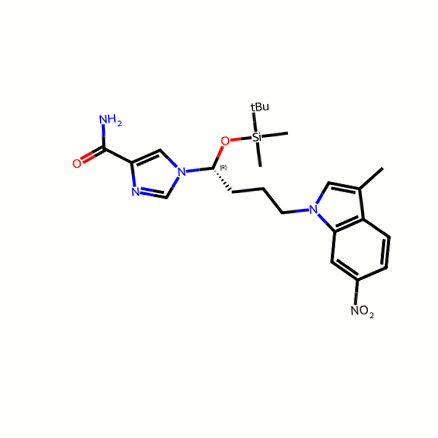 Cc1cn(CCC[C@@H](O[Si](C)(C)C(C)(C)C)n2cnc(C(N)=O)c2)c2cc([N+](=O)[O-])ccc12